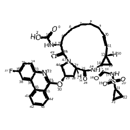 O=C(O)N[C@H]1CCCCC/C=C\[C@@H]2C[C@@]2(C(=O)NS(=O)(=O)C2CC2)NC(=O)[C@@H]2C[C@@H](Oc3nc4ccc(F)cc4c4ccccc34)CN2C1=O